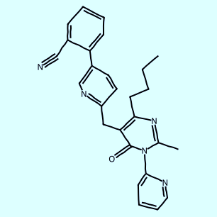 CCCCc1nc(C)n(-c2ccccn2)c(=O)c1Cc1ccc(-c2ccccc2C#N)cn1